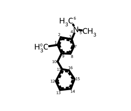 Cc1cc(N(C)C)ccc1Cc1ccccc1